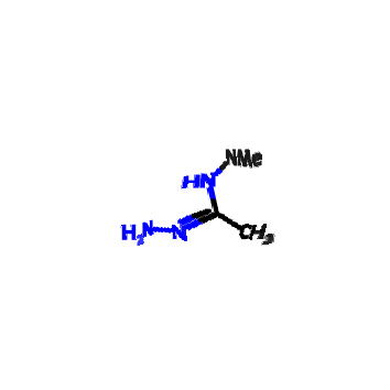 CNN/C(C)=N\N